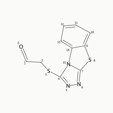 O=[C]CSc1nnc2sc3ccccc3n12